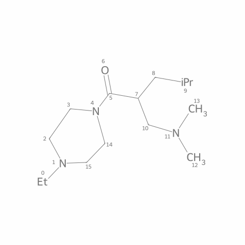 CCN1CCN(C(=O)C(CC(C)C)CN(C)C)CC1